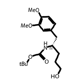 COc1ccc(C[C@H](CCCO)NC(=O)OC(C)(C)C)cc1OC